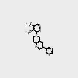 Cc1cnnc(N2CCc3ncc(-c4cncnc4)cc3C2)c1C